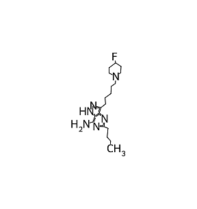 CCCCc1nc(N)c2[nH]nc(CCCCCN3CCC(F)CC3)c2n1